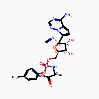 C=N[C@@]1(c2ccc3c(N)ncnn23)O[C@H](COP(=O)(N[C@@H](C)C(=O)OCC(C)C)Oc2ccc(C(C)(C)C)cc2)[C@@H](O)[C@H]1O